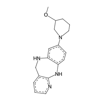 COC1CCCN(c2ccc3c(c2)NCc2cccnc2N3)C1